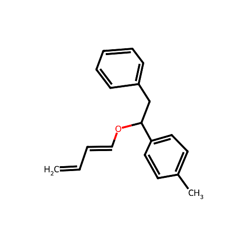 C=CC=COC(Cc1ccccc1)c1ccc(C)cc1